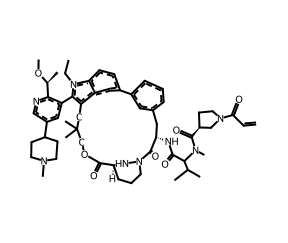 C=CC(=O)N1CC[C@H](C(=O)N(C)C(C(=O)N[C@H]2Cc3cccc(c3)-c3ccc4c(c3)c(c(-c3cc(C5CCN(C)CC5)cnc3[C@H](C)OC)n4CC)CC(C)(C)COC(=O)[C@@H]3CCCN(N3)C2=O)C(C)C)C1